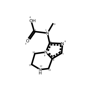 CN(C(=O)O)c1ncc2n1CCNC2